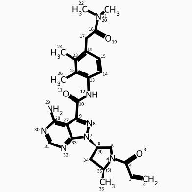 C=CC(=O)N1C[C@H](n2nc(C(=O)Nc3ccc(CC(=O)N(C)C)c(C)c3C)c3c(N)ncnc32)C[C@@H]1C